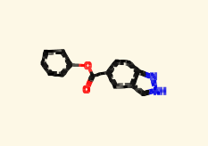 O=C(Oc1ccccc1)c1ccc2n[nH]cc2c1